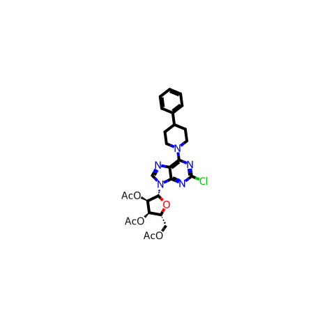 CC(=O)OC[C@H]1O[C@@H](n2cnc3c(N4CCC(c5ccccc5)CC4)nc(Cl)nc32)[C@H](OC(C)=O)[C@@H]1OC(C)=O